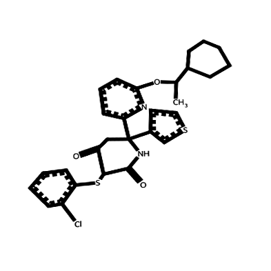 CC(Oc1cccc(C2(c3ccsc3)CC(=O)C(Sc3ccccc3Cl)C(=O)N2)n1)C1CCCCC1